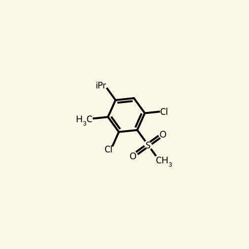 Cc1c(C(C)C)cc(Cl)c(S(C)(=O)=O)c1Cl